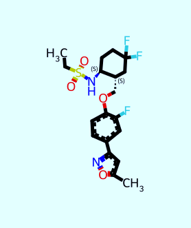 CCS(=O)(=O)N[C@H]1CCC(F)(F)C[C@@H]1COc1ccc(-c2cc(C)on2)cc1F